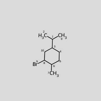 CC(C)C1C[CH]C(C)C(Br)C1